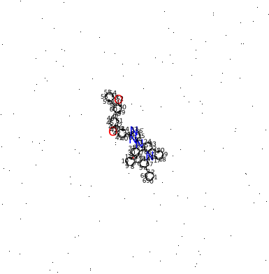 c1ccc(-c2cc(-c3ccccc3)cc(-n3c4ccccc4c4ccc5c(c6ccccc6n5-c5ccnc(-c6ccc7oc8ccc(-c9ccc%10oc%11ccccc%11c%10c9)cc8c7c6)n5)c43)c2)cc1